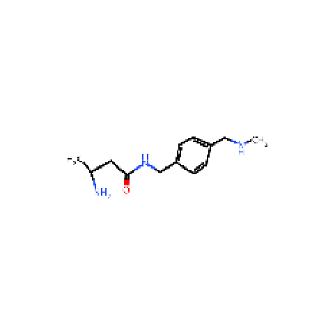 CNCc1ccc(CNC(=O)CC(C)N)cc1